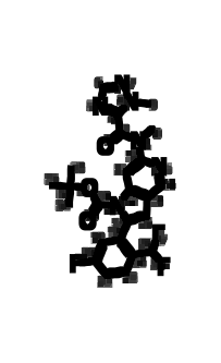 CN(C(=O)c1ncnn1C)c1cc2c(cn1)cc(-c1cc(F)ccc1C(F)F)n2C(=O)OC(C)(C)C